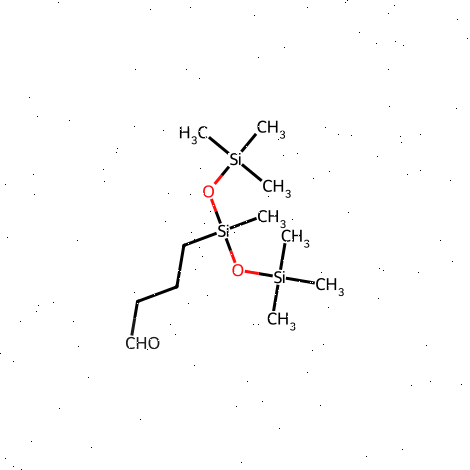 C[Si](C)(C)O[Si](C)(CCCC=O)O[Si](C)(C)C